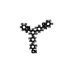 N#Cc1ccc(-c2ccc(-c3cc(-c4ccc(-c5nc6ccccc6o5)cc4)cc(-c4nc5ccccc5s4)c3)cc2)cc1